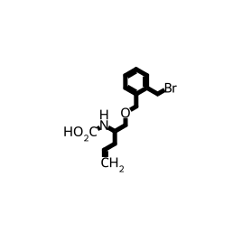 C=CCC(COCc1ccccc1CBr)NC(=O)O